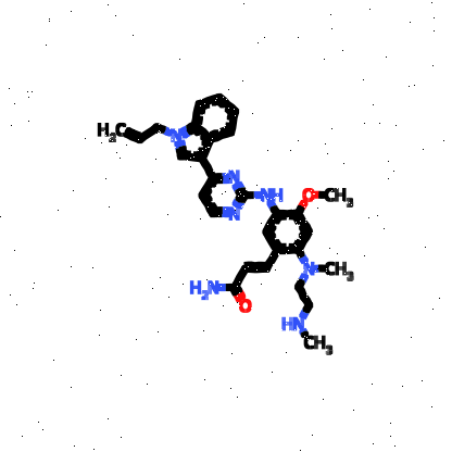 C=CCn1cc(-c2ccnc(Nc3cc(C=CC(N)=O)c(N(C)CCNC)cc3OC)n2)c2ccccc21